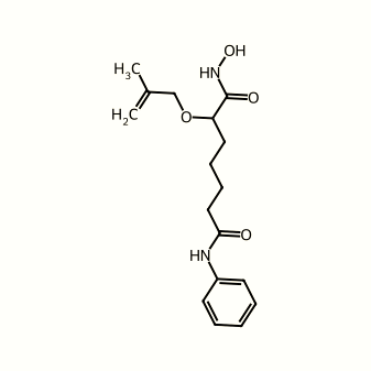 C=C(C)COC(CCCCC(=O)Nc1ccccc1)C(=O)NO